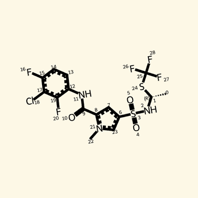 C[C@H](NS(=O)(=O)c1cc(C(=O)Nc2ccc(F)c(Cl)c2F)n(C)c1)SC(F)(F)F